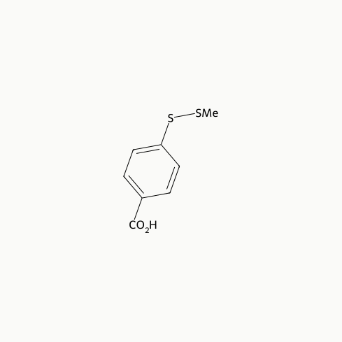 CSSc1ccc(C(=O)O)cc1